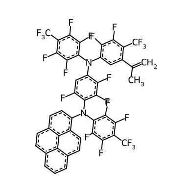 C=C(C)c1cc(N(c2cc(F)c(N(c3c(F)c(F)c(C(F)(F)F)c(F)c3F)c3ccc4ccc5cccc6ccc3c4c56)c(F)c2F)c2c(F)c(F)c(C(F)(F)F)c(F)c2F)c(F)c(F)c1C(F)(F)F